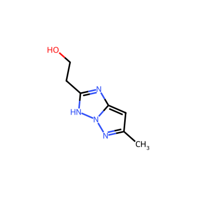 Cc1cc2nc(CCO)[nH]n2n1